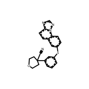 N#CC1(c2cccc(Sc3ccc4c(ccc5ncnn54)c3)c2)CCOCC1